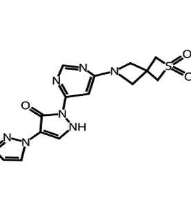 O=c1c(-n2ccnn2)c[nH]n1-c1cc(N2CC3(C2)CS(=O)(=O)C3)ncn1